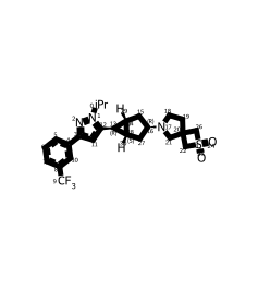 CC(C)n1nc(-c2cccc(C(F)(F)F)c2)cc1[C@H]1[C@@H]2C[C@H](N3CCC4(C3)CS(=O)(=O)C4)C[C@@H]21